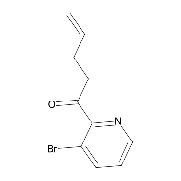 C=CCCC(=O)c1ncccc1Br